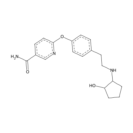 NC(=O)c1ccc(Oc2ccc(CCNC3CCCC3O)cc2)nc1